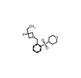 CCC1(F)CN(Cc2ccccc2S(=O)(=O)N2CCOCC2)C1